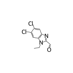 CCn1c(C=O)nc2cc(Cl)c(Cl)cc21